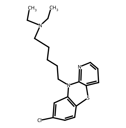 CCN(CC)CCCCCN1c2cc(Cl)ccc2Sc2cccnc21